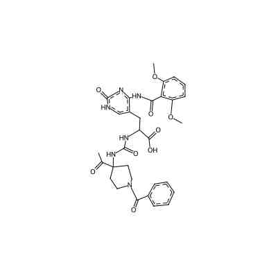 COc1cccc(OC)c1C(=O)Nc1nc(=O)[nH]cc1CC(NC(=O)NC1(C(C)=O)CCN(C(=O)c2ccccc2)CC1)C(=O)O